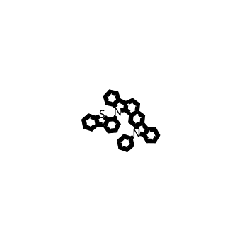 c1ccc(-n2c3ccccc3c3cc4ccc5c6ccccc6n(-c6cccc7c6sc6ccccc67)c5c4cc32)cc1